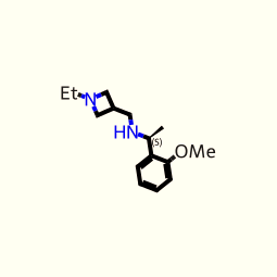 CCN1CC(CN[C@@H](C)c2ccccc2OC)C1